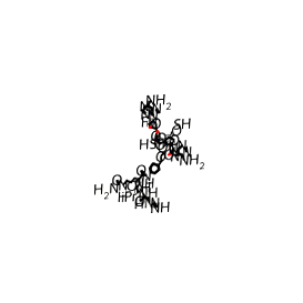 CC(C)[C@H](NC(=O)CNN=N)C(=O)N[C@@H](CCCNC(N)=O)C(=O)Nc1ccc(COC(=O)O[C@@H]2[C@H](OP(=O)(S)OCC3C[C@@H](F)[C@H](n4cnc5c(N)ncnc54)O3)[C@@H](COS)O[C@H]2n2cnc3c(N)ncnc32)cc1